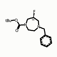 CC(C)(C)OC(=O)N1CCN(Cc2ccccc2)C[C@H](F)C1